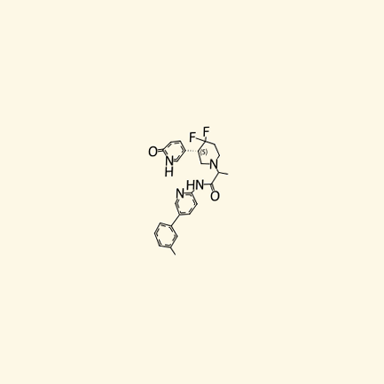 Cc1cccc(-c2ccc(NC(=O)C(C)N3CCC(F)(F)[C@@H](c4ccc(=O)[nH]c4)C3)nc2)c1